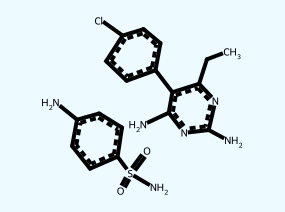 CCc1nc(N)nc(N)c1-c1ccc(Cl)cc1.Nc1ccc(S(N)(=O)=O)cc1